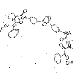 CO[C@H](C(=O)N1CCC[C@H]1C(=O)Nc1ccc(-c2cnc(-c3ccc(NC(=O)[C@@H]4CCCN4C(=O)[C@@H](OC)c4ccccc4)cc3)o2)cc1)c1ccccc1